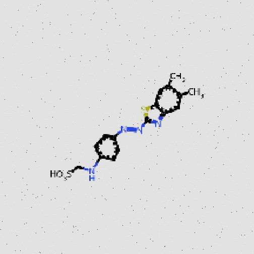 Cc1cc2nc(/N=N/c3ccc(NCS(=O)(=O)O)cc3)sc2cc1C